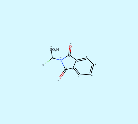 O=C1c2ccccc2C(=O)N1C(F)S(=O)(=O)O